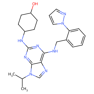 CC(C)n1cnc2c(NCc3ccccc3-n3cccn3)nc(NC3CCC(O)CC3)nc21